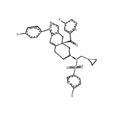 O=C(c1cc(F)ccn1)[C@]12Cc3cnn(-c4ccc(F)cc4)c3C=C1CC[C@H](N(CC1CC1)S(=O)(=O)c1ccc(Cl)nc1)C2